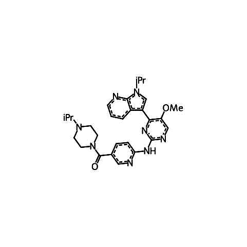 COc1cnc(Nc2ccc(C(=O)N3CCN(C(C)C)CC3)cn2)nc1-c1cn(C(C)C)c2ncccc12